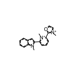 Cn1c(-c2cccc(-c3occ[n+]3C)[n+]2C)cc2ccccc21